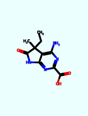 CCC1(C)C(=O)Nc2nc(C(=O)O)nc(N)c21